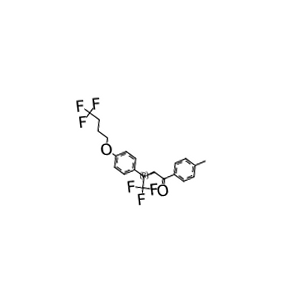 Cc1ccc(C(=O)C[C@H](c2ccc(OCCCC(F)(F)F)cc2)C(F)(F)F)cc1